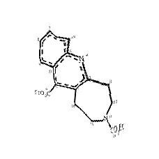 CCOC(=O)c1c2c(nc3ccccc13)CCN(C(=O)OCC)CC2